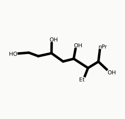 CCCC(O)C(CC)C(O)CC(O)CCO